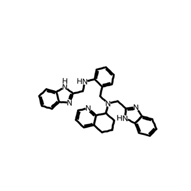 c1ccc(NCc2nc3ccccc3[nH]2)c(CN(Cc2nc3ccccc3[nH]2)C2CCCc3cccnc32)c1